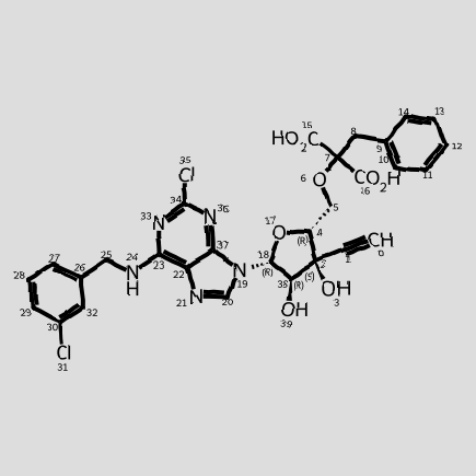 C#C[C@@]1(O)[C@@H](COC(Cc2ccccc2)(C(=O)O)C(=O)O)O[C@@H](n2cnc3c(NCc4cccc(Cl)c4)nc(Cl)nc32)[C@@H]1O